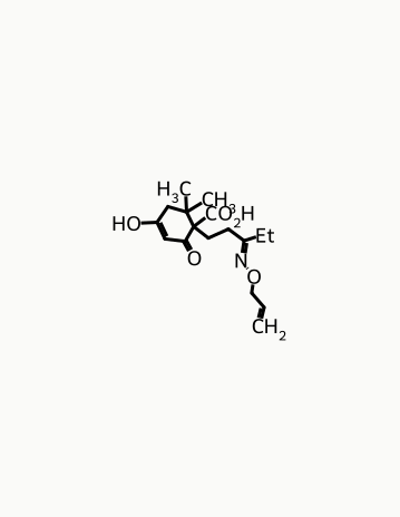 C=CCON=C(CC)CCC1(C(=O)O)C(=O)C=C(O)CC1(C)C